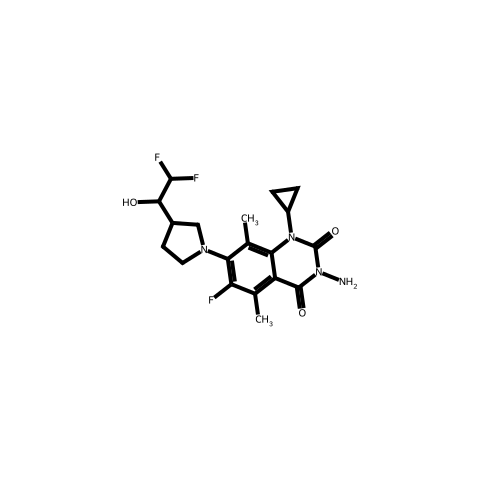 Cc1c(F)c(N2CCC(C(O)C(F)F)C2)c(C)c2c1c(=O)n(N)c(=O)n2C1CC1